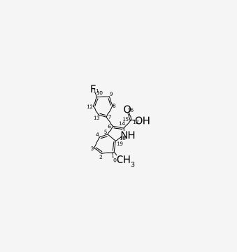 Cc1cccc2c(-c3ccc(F)cc3)c(C(=O)O)[nH]c12